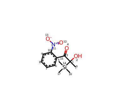 [CH2]C(O)(C(=O)c1ccccc1[N+](=O)[O-])[Si](C)(C)C